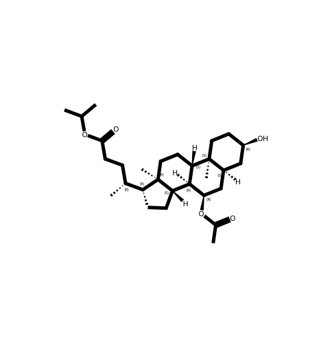 CC(=O)O[C@@H]1C[C@@H]2C[C@H](O)CC[C@]2(C)[C@H]2CC[C@]3(C)[C@@H]([C@H](C)CCC(=O)OC(C)C)CC[C@H]3[C@H]12